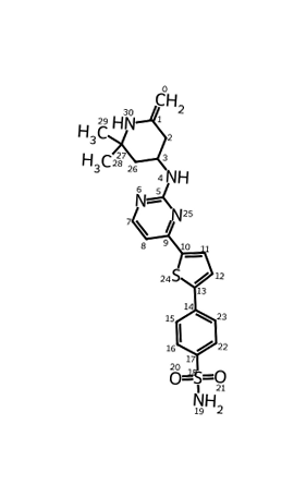 C=C1CC(Nc2nccc(-c3ccc(-c4ccc(S(N)(=O)=O)cc4)s3)n2)CC(C)(C)N1